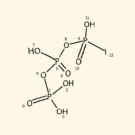 O=P(O)(O)OP(=O)(O)OP(=O)(O)I